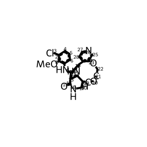 COc1c(Cl)cccc1Nc1c2[nH]c3c1C(=O)NC[C@@H]3COCCOc1cnccc1-2